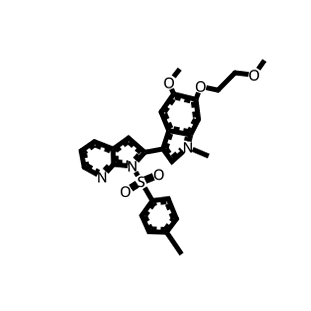 COCCOc1cc2c(cc1OC)c(-c1cc3cccnc3n1S(=O)(=O)c1ccc(C)cc1)cn2C